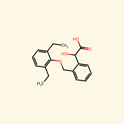 CCc1cccc(CC)c1OCc1ccccc1C(O)C(=O)O